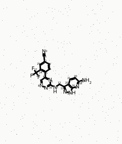 N#Cc1ccc(-c2cnnc(NCc3n[nH]c4nc(N)ccc34)n2)c(C(F)(F)F)c1